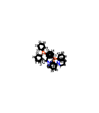 CC(N(C)CCN1CCCCC1)[C]12[CH]3[CH]4[CH]5[C]1(P(c1ccccc1)c1ccccc1)[Fe]43521678[CH]2[CH]1[CH]6[C]7(P(c1ccccc1)c1ccccc1)[CH]28